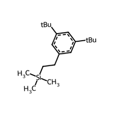 CC(C)(C)c1cc(CC[Si](C)(C)C)cc(C(C)(C)C)c1